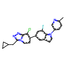 Cc1ccc(-n2ccc3cc(-c4ccn5c(CC6CC6)nnc5c4Cl)cc(F)c32)cn1